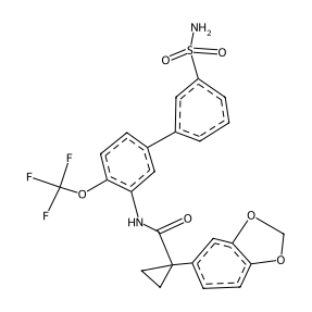 NS(=O)(=O)c1cccc(-c2ccc(OC(F)(F)F)c(NC(=O)C3(c4ccc5c(c4)OCO5)CC3)c2)c1